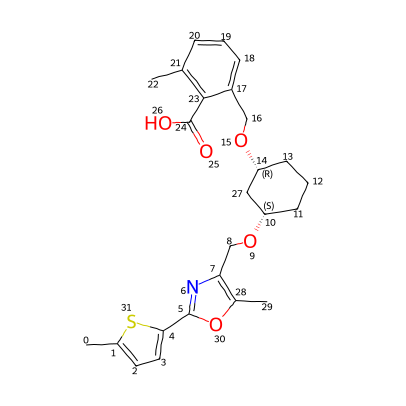 Cc1ccc(-c2nc(CO[C@H]3CCC[C@@H](OCc4cccc(C)c4C(=O)O)C3)c(C)o2)s1